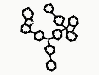 c1ccc(-c2ccc(N(c3ccc(-c4cccc5c4oc4ccccc45)cc3)c3ccc(C4(c5ccc(-c6ccccc6)cc5)c5ccccc5-c5ccccc54)cc3)cc2)cc1